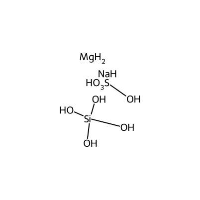 O=S(=O)(O)O.O[Si](O)(O)O.[MgH2].[NaH]